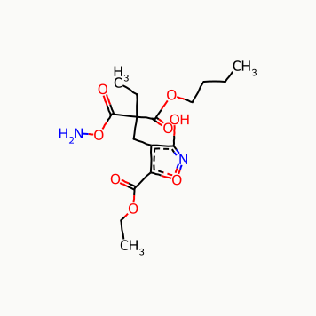 CCCCOC(=O)C(CC)(Cc1c(O)noc1C(=O)OCC)C(=O)ON